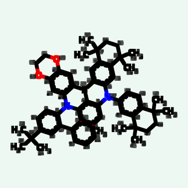 Cc1cc2c3c(c1)N(c1ccc(C(C)(C)C)cc1-c1ccccc1)c1cc4c(cc1B3c1cc3c(cc1N2c1ccc2c(c1)C(C)(C)CCC2(C)C)C(C)(C)CCC3(C)C)OCCO4